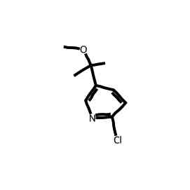 COC(C)(C)c1ccc(Cl)nc1